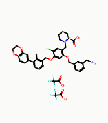 Cc1c(COc2cc(OCc3cccc(CN)c3)c(CN3CCCC[C@H]3C(=O)O)cc2Cl)cccc1-c1ccc2c(c1)OCCO2.O=C(O)C(F)(F)F.O=C(O)C(F)(F)F